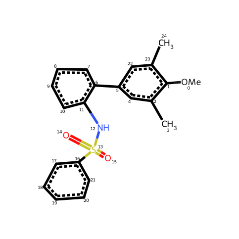 COc1c(C)cc(-c2ccccc2NS(=O)(=O)c2ccccc2)cc1C